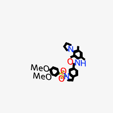 COc1ccc(S(=O)(=O)n2ccc3ccc(C(=O)Nc4c(C)cc(C)c(N5CCCC5)c4C)cc32)cc1OC